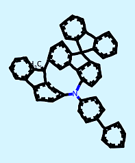 CC12c3ccc4c(c3)-c3c(cccc3C43c4ccccc4-c4ccccc43)N(c3ccc(-c4ccccc4)cc3)c3ccc(c1c3)-c1ccccc12